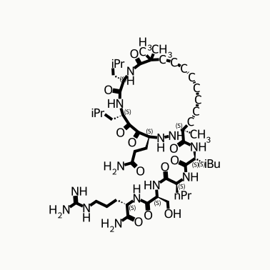 CCC[C@H](NC(=O)[C@@H](NC(=O)[C@]1(C)CCCCCCCCC(C)(C)C(=O)N[C@@H](CC(C)C)C(=O)N[C@@H](CC(C)C)C(=O)C(=O)[C@H](CCC(N)=O)NN1)[C@@H](C)CC)C(=O)N[C@@H](CO)C(=O)N[C@@H](CCCNC(=N)N)C(N)=O